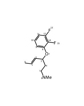 C/C=C/C(CCNC)Oc1cccc(F)c1F